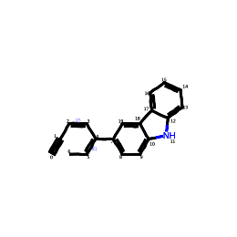 C#C/C=C\C(=C/C)c1ccc2[nH]c3ccccc3c2c1